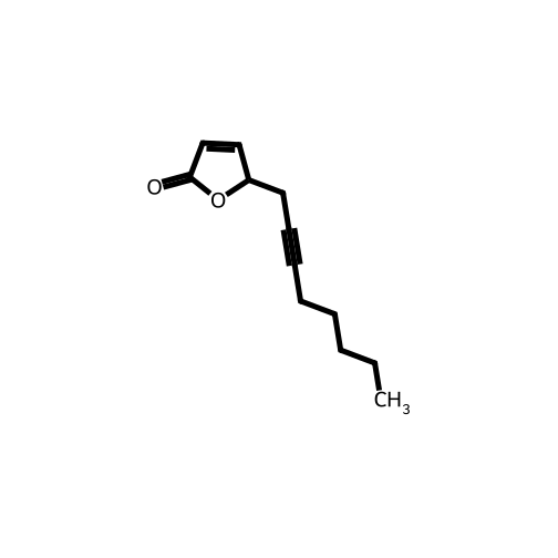 CCCCCC#CCC1C=CC(=O)O1